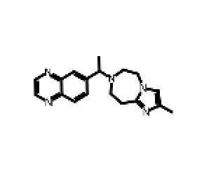 Cc1cn2c(n1)CCN(C(C)c1ccc3nccnc3c1)CC2